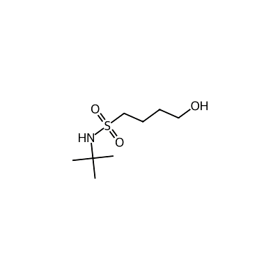 CC(C)(C)NS(=O)(=O)CCCCO